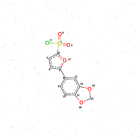 O=S(=O)(Cl)c1ccc(-c2ccc3c(c2)OCO3)o1